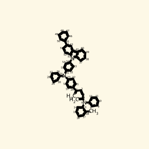 C=C(/C=C\C(=C)N(c1ccccc1)c1ccccc1C)c1ccc(N(c2ccccc2)c2ccc(-n3c4ccccc4c4cc(-c5ccccc5)ccc43)cc2)cc1